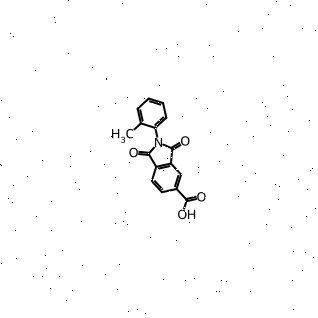 Cc1ccccc1N1C(=O)c2ccc(C(=O)O)cc2C1=O